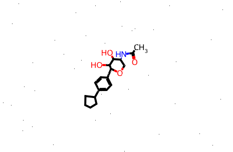 CC(=O)N[C@@H]1COC(c2ccc(C3CCCC3)cc2)C(O)C1O